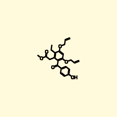 C=CCOc1cc(OCC=C)c(C(=O)c2ccc(O)cc2)c(CC(=O)OC)c1CC